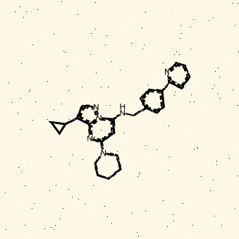 c1ccc(-c2ccc(CNc3cc(N4CCCCC4)nc4c(C5CC5)cnn34)cc2)nc1